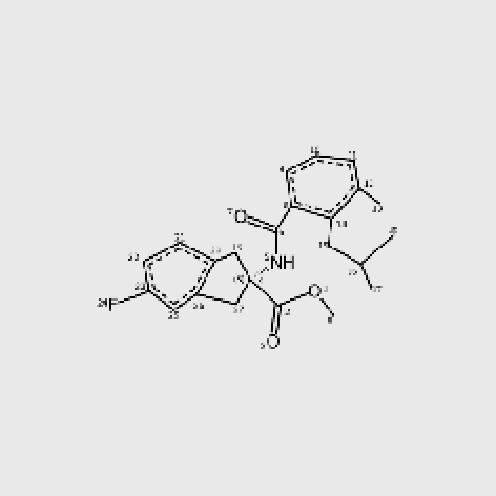 COC(=O)[C@]1(NC(=O)c2cccc(C)c2CC(C)C)Cc2ccc(F)cc2C1